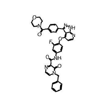 O=C(Nc1ccc(Oc2ccnc3[nH]nc(-c4ccc(C(=O)N5CCOCC5)cc4)c23)c(F)c1)c1nccn(Cc2ccccc2)c1=O